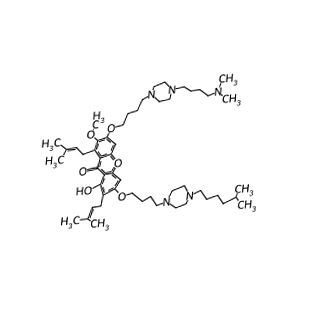 COc1c(OCCCCN2CCN(CCCCN(C)C)CC2)cc2oc3cc(OCCCCN4CCN(CCCCC(C)C)CC4)c(CC=C(C)C)c(O)c3c(=O)c2c1CC=C(C)C